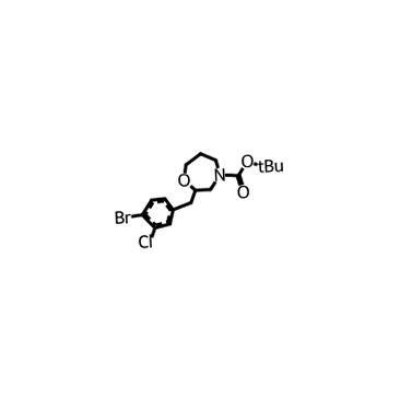 CC(C)(C)OC(=O)N1CCCOC(Cc2ccc(Br)c(Cl)c2)C1